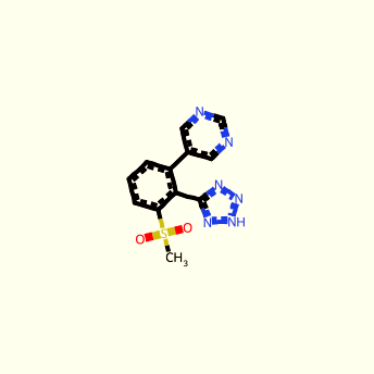 CS(=O)(=O)c1cccc(-c2cncnc2)c1-c1nn[nH]n1